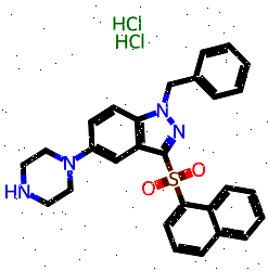 Cl.Cl.O=S(=O)(c1cccc2ccccc12)c1nn(Cc2ccccc2)c2ccc(N3CCNCC3)cc12